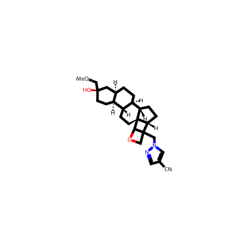 COC[C@@]1(O)CC[C@H]2[C@H](CC[C@@H]3[C@@H]2CC[C@]24C5OCC5(Cn5cc(C#N)cn5)[C@H]2CC[C@@H]34)C1